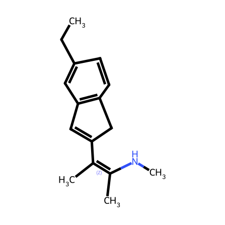 CCc1ccc2c(c1)C=C(/C(C)=C(/C)NC)C2